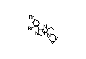 CCc1nc2c(-c3ccc(Br)cc3Br)nccn2c1N(CC1CC1)CC1CC1